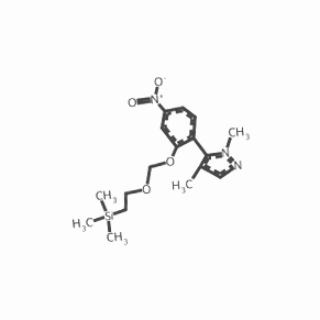 Cc1cnn(C)c1-c1ccc([N+](=O)[O-])cc1OCOCC[Si](C)(C)C